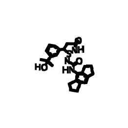 CC(C)(O)c1cccc(C2CC(=O)N/S2=N\C(=O)Nc2c3c(cc4c2CCC4)CCC3)c1